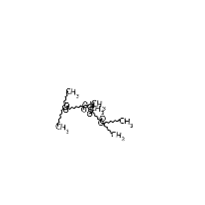 CCCCCCCCC(CCCCCCCC)OC(=O)CCCCCCC(=O)OC(COC(=O)CCCCC(=O)OC(CCCCCC)CCCCCCCC)CN(C)C